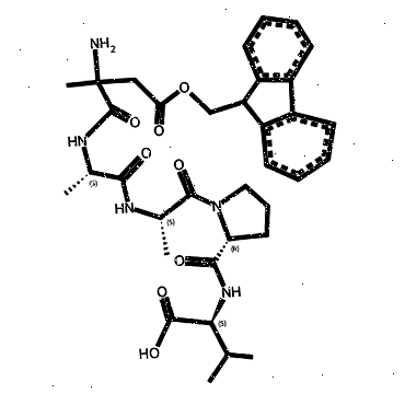 CC(C)[C@H](NC(=O)[C@H]1CCCN1C(=O)[C@H](C)NC(=O)[C@H](C)NC(=O)C(C)(N)CC(=O)OCC1c2ccccc2-c2ccccc21)C(=O)O